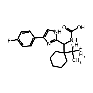 CC(C)(C)C1(C(NC(=O)O)c2nc(-c3ccc(F)cc3)c[nH]2)CCCCC1